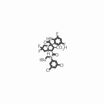 CC(C)(C)CN(C(=O)[C@H]1[C@H]2CC(F)(F)CN2[C@]2(C(=O)Nc3c(F)cc(F)cc32)[C@H]1C(=O)O)c1cc(Cl)cc(Cl)c1